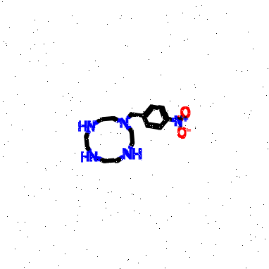 O=[N+]([O-])c1ccc(CN2CCNCCNCCNCC2)cc1